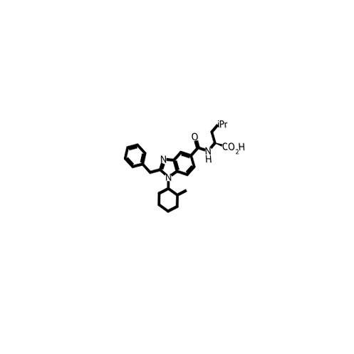 CC(C)C[C@H](NC(=O)c1ccc2c(c1)nc(Cc1ccccc1)n2C1CCCCC1C)C(=O)O